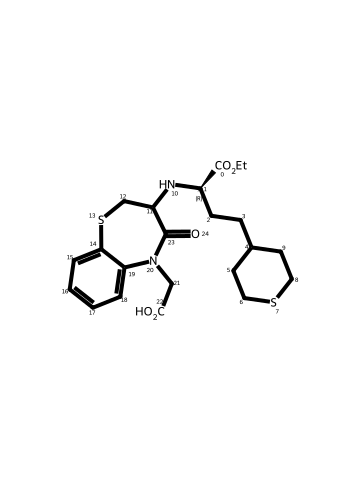 CCOC(=O)[C@@H](CCC1CCSCC1)NC1CSc2ccccc2N(CC(=O)O)C1=O